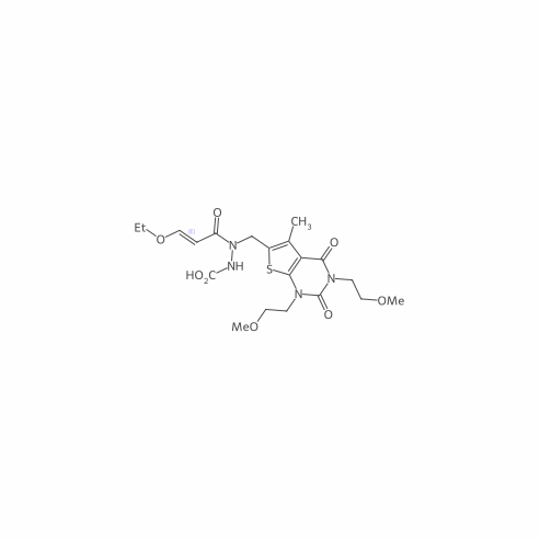 CCO/C=C/C(=O)N(Cc1sc2c(c1C)c(=O)n(CCOC)c(=O)n2CCOC)NC(=O)O